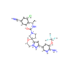 C[C@@H](NC(=O)N1CCC2(C1)OCCn1nc(-c3cnc(N)c(OC(F)(F)F)c3)cc12)c1ccc(C#N)cc1Cl